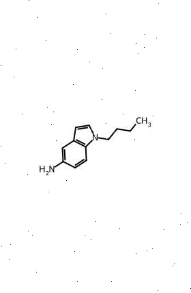 CCCCn1ccc2cc(N)ccc21